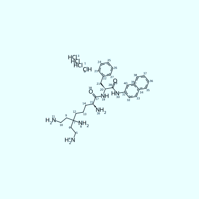 Cl.Cl.Cl.Cl.NCCC(N)(CCN)CCC[C@H](N)C(=O)N[C@@H](Cc1ccccc1)C(=O)Nc1ccc2ccccc2c1